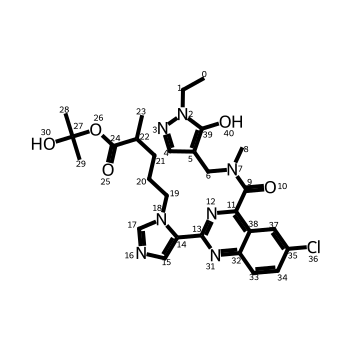 CCn1ncc(CN(C)C(=O)c2nc(-c3cncn3CCCC(C)C(=O)OC(C)(C)O)nc3ccc(Cl)cc23)c1O